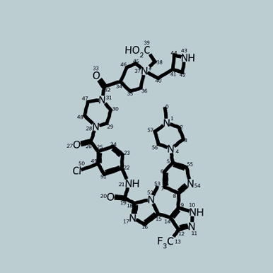 CN1CCN(c2ccc(-c3[nH]nc(C(F)(F)F)c3-c3cnc(C(=O)Nc4ccc(C(=O)N5CCN(C(=O)C6CC[N+](CC(=O)O)(CC7CNC7)CC6)CC5)c(Cl)c4)n3C)nc2)CC1